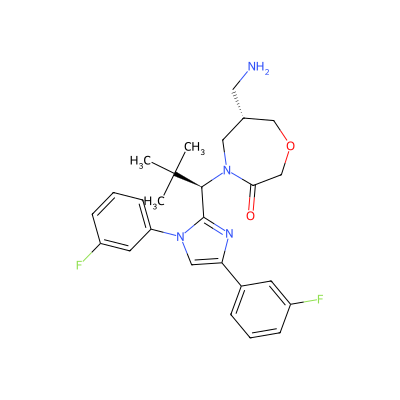 CC(C)(C)[C@H](c1nc(-c2cccc(F)c2)cn1-c1cccc(F)c1)N1C[C@H](CN)COCC1=O